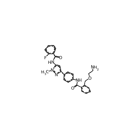 Cn1nc(-c2ccc(NC(=O)c3ccccc3COCCN)cc2)cc1NC(=O)c1ccccc1F